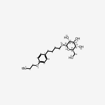 CC(C)(C)CCOc1ccc(CCCCO[C@@H]2O[C@H](CO)[C@@H](O)[C@H](O)[C@H]2O)cc1